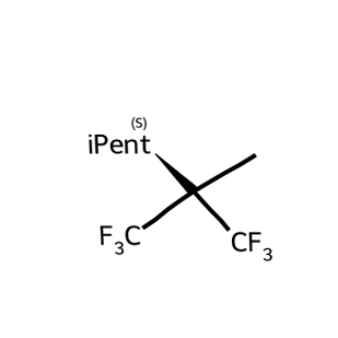 CCC[C@H](C)C(C)(C(F)(F)F)C(F)(F)F